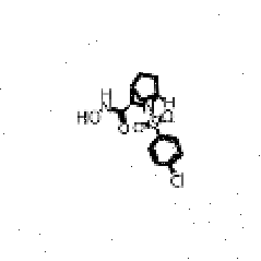 O=C(NO)[C@H]1C2CC[C@@H](C2)N1S(=O)(=O)c1ccc(Cl)cc1